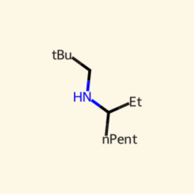 CCCCCC(CC)NCC(C)(C)C